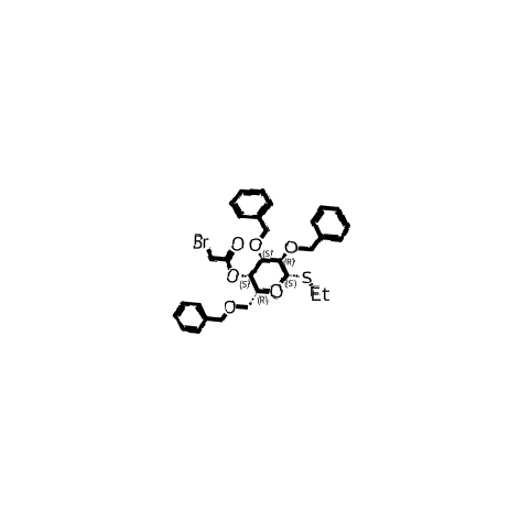 CCS[C@@H]1O[C@H](COCc2ccccc2)[C@H](OC(=O)CBr)[C@H](OCc2ccccc2)[C@H]1OCc1ccccc1